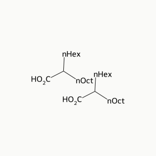 CCCCCCCCC(CCCCCC)C(=O)O.CCCCCCCCC(CCCCCC)C(=O)O